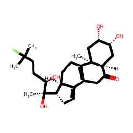 CC(C)(F)CC[C@@H](O)[C@](C)(O)[C@H]1CC=C2C3=C(CC[C@@]21C)[C@@]1(C)C[C@H](O)[C@H](O)C[C@H]1C(=O)C3